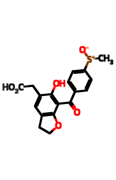 C[S+]([O-])c1ccc(C(=O)c2c(O)c(CC(=O)O)cc3c2OCC3)cc1